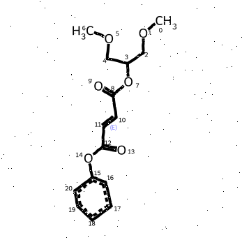 COCC(COC)OC(=O)/C=C/C(=O)Oc1ccccc1